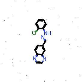 Clc1ccccc1N/N=C/c1ccc2nccnc2c1